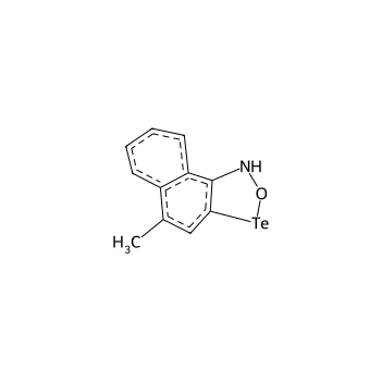 Cc1cc2c(c3ccccc13)NO[Te]2